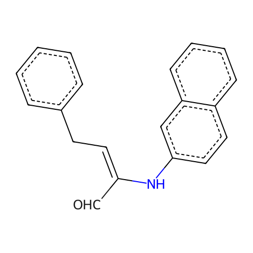 O=CC(=CCc1ccccc1)Nc1ccc2ccccc2c1